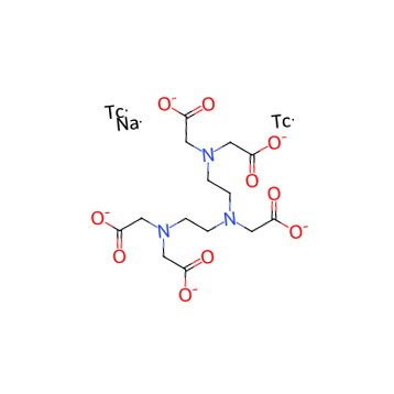 O=C([O-])CN(CCN(CC(=O)[O-])CC(=O)[O-])CCN(CC(=O)[O-])CC(=O)[O-].[Na].[Tc].[Tc]